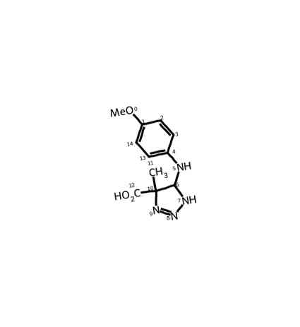 COc1ccc(NC2NN=NC2(C)C(=O)O)cc1